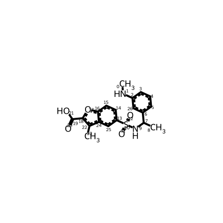 CNc1cccc(C(C)NS(=O)(=O)c2ccc3oc(C(=O)O)c(C)c3c2)c1